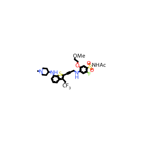 COCCOc1cc(S(=O)(=O)NC(C)=O)c(F)cc1NCC#Cc1sc2c(NC3CCN(C)CC3)cccc2c1CC(F)(F)F